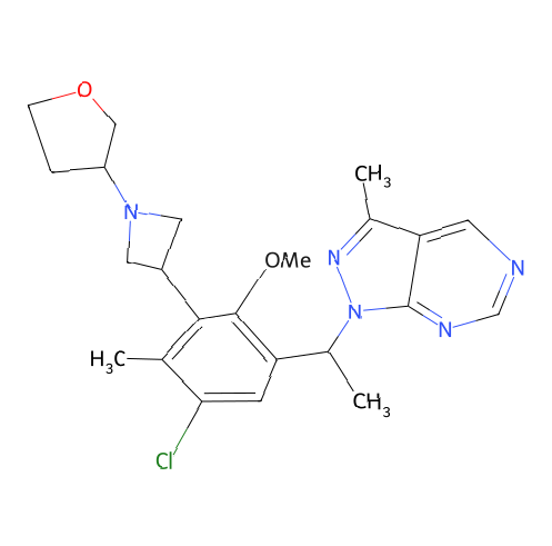 COc1c(C(C)n2nc(C)c3cncnc32)cc(Cl)c(C)c1C1CN(C2CCOC2)C1